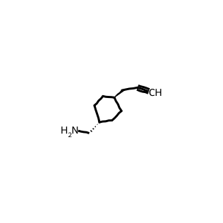 C#CC[C@H]1CC[C@H](CN)CC1